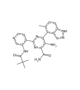 Cc1ccc2[nH]ncc2c1-c1nc(-c2ccncc2NC(=O)C(C)(C)C)nc(C(N)=O)c1N